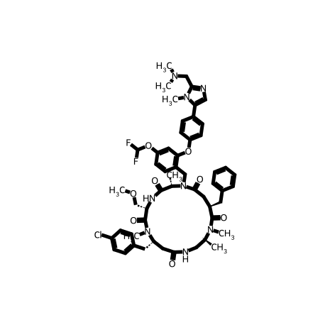 COC[C@@H]1NC(=O)[C@H](C)N(Cc2ccc(OC(F)F)cc2Oc2ccc(-c3cnc(CN(C)C)n3C)cc2)C(=O)C[C@@H](Cc2ccccc2)C(=O)N(C)[C@@H](C)CNC(=O)C[C@H](Cc2ccc(Cl)cc2)N(C)C1=O